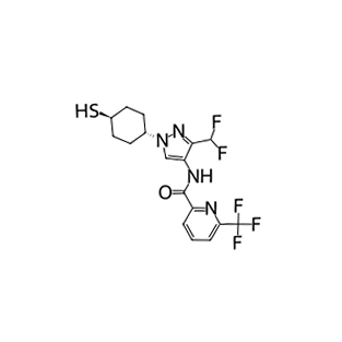 O=C(Nc1cn([C@H]2CC[C@H](S)CC2)nc1C(F)F)c1cccc(C(F)(F)F)n1